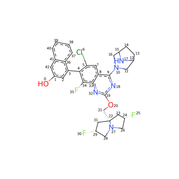 Oc1cc(-c2c(Cl)cc3c(N4CC5CCC(C4)N5)nc(OC[C@]45C[C@H](F)CN4C[C@H](F)C5)nc3c2F)c2ccccc2c1